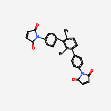 CC(C)c1ccc(-c2ccc(N3C(=O)C=CC3=O)cc2)c(C(C)C)c1-c1ccc(N2C(=O)C=CC2=O)cc1